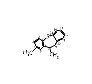 Cc1ccc2c(c1)C(C)Cc1ccccc1S2